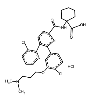 CN(C)CCCOc1cc(-c2nc(C(=O)NC3(C(=O)O)CCCCC3)ccc2-c2ncccc2Cl)ccc1Cl.Cl